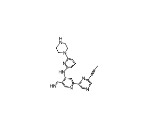 CC#Cc1cncc(-c2cc(Nc3cccc(N4CCNCC4)n3)c(C=N)cn2)n1